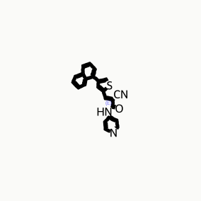 N#C/C(=C\c1cc(-c2cccc3ccccc23)cs1)C(=O)Nc1ccncc1